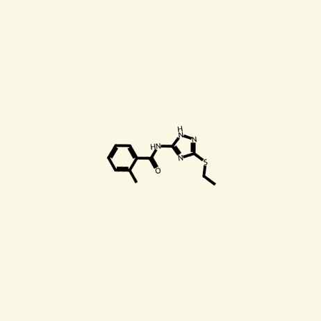 CCSc1n[nH]c(NC(=O)c2ccccc2C)n1